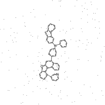 c1ccc(N(c2ccc(-c3cc4oc5cccc(-c6cccnc6)c5c4c4ccccc34)cc2)c2ccc3sc4ccccc4c3c2)cc1